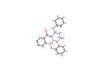 O=C(c1ccccc1OCc1ccccc1)N1CCNCC1Cc1ccccc1